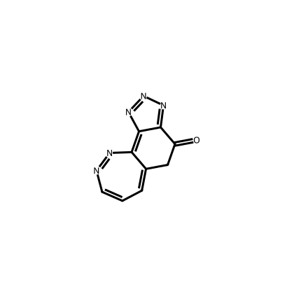 O=C1CC2=CC=CN=NC2=C2N=NN=C12